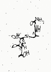 CC(CSC1=C(C(=O)[O-])N2C(=O)[C@H](C(C)O)[C@H]2S1)=NNC(N)=O.[Na+]